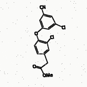 COC(=O)Cc1ccc(Oc2cc(Cl)cc(C#N)c2)c(Cl)c1